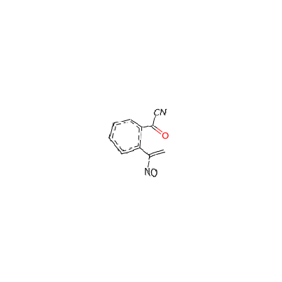 C=C(N=O)c1ccccc1C(=O)C#N